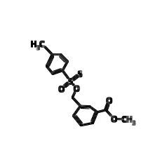 COC(=O)c1cccc(COS(=O)(=S)c2ccc(C)cc2)c1